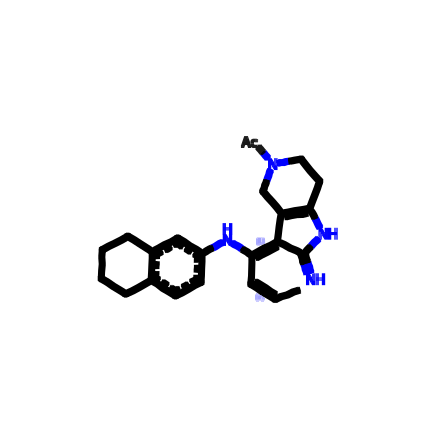 C/C=C\C(Nc1ccc2c(c1)CCCC2)=C1/C(=N)NC2=C1CN(C(C)=O)CC2